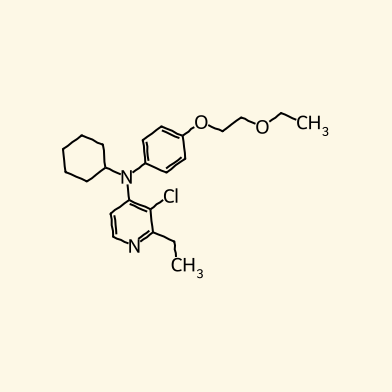 CCOCCOc1ccc(N(c2ccnc(CC)c2Cl)C2CCCCC2)cc1